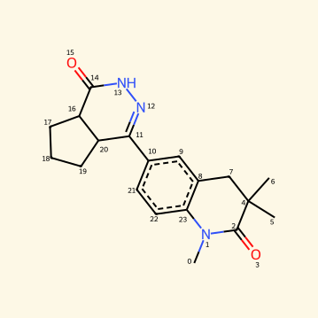 CN1C(=O)C(C)(C)Cc2cc(C3=NNC(=O)C4CCCC34)ccc21